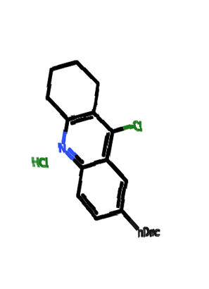 CCCCCCCCCCc1ccc2nc3c(c(Cl)c2c1)CCCC3.Cl